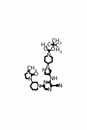 CN1CCN([C@@H]2CCCN(c3cnc(C#N)c(Nc4cnn(C5CCN(C(=O)OC(C)(C)C)CC5)c4)n3)C2)C1=O